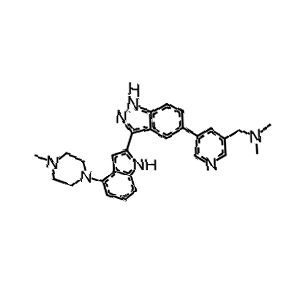 CN(C)Cc1cncc(-c2ccc3[nH]nc(-c4cc5c(N6CCN(C)CC6)cccc5[nH]4)c3c2)c1